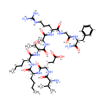 CCCC[C@H](NC(=O)[C@H](CCC(=O)O)NC(=O)[C@@H](N)C(C)C)C(=O)N[C@@H](CCCC)C(=O)N[C@H](C(=O)N[C@@H](C)C(=O)N[C@@H](CCCN=C(N)N)C(=O)NCC(=O)N[C@@H](Cc1ccccc1)C(N)=O)[C@@H](C)O